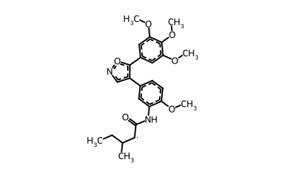 CCC(C)[CH]C(=O)Nc1cc(-c2cnoc2-c2cc(OC)c(OC)c(OC)c2)ccc1OC